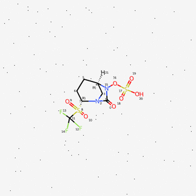 O=C1N2C[C@@H](CC[C@H]2S(=O)(=O)C(F)(F)F)N1OS(=O)(=O)O